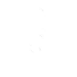 O=C1NC(C2CCCCC2)=NC12CCN(S(=O)(=O)C=Cc1nccs1)CC2